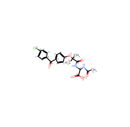 CC(=O)NC(NC(=O)C(C)(C)Oc1ccc(C(=O)c2ccc(Cl)cc2)cc1)C(=O)O